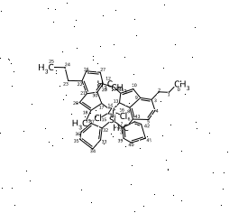 CCCc1ccc(C)c2c1C=C(C)[CH]2[Zr]([Cl])([Cl])([CH]1C(C)=Cc2c(CCC)ccc(C)c21)=[Si](c1ccccc1)c1ccccc1